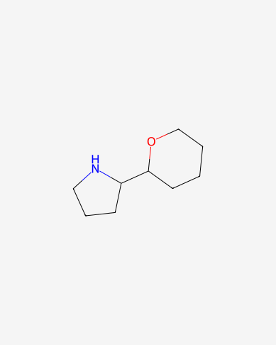 C1CCC(C2CCCN2)OC1